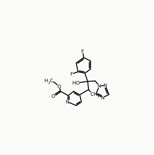 COC(=O)c1cc(C(C)C(O)(Cn2cncn2)c2ccc(F)cc2F)ccn1